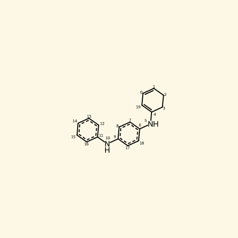 C1=CCCC(Nc2ccc(Nc3ccccc3)cc2)=C1